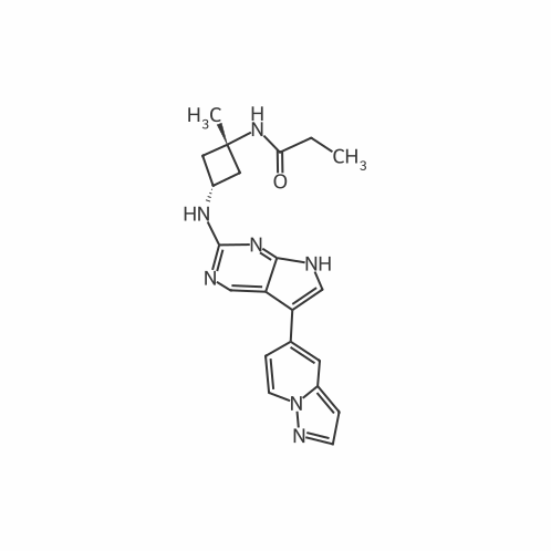 CCC(=O)N[C@]1(C)C[C@H](Nc2ncc3c(-c4ccn5nccc5c4)c[nH]c3n2)C1